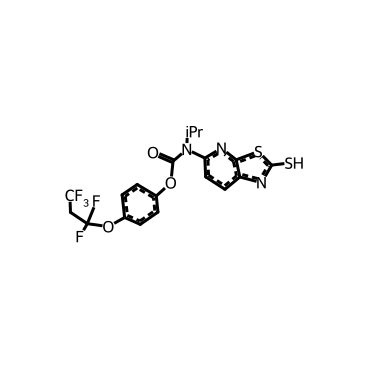 CC(C)N(C(=O)Oc1ccc(OC(F)(F)CC(F)(F)F)cc1)c1ccc2nc(S)sc2n1